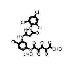 O=CC(=O)C(=O)C(=O)C(=O)C(=O)N(C=O)c1ccc(Cl)c(NC2=NN(c3c(Cl)cc(Cl)cc3Cl)C(=O)C2)c1